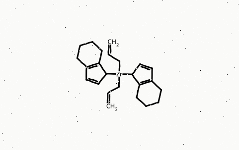 C=C[CH2][Zr]([CH2]C=C)([CH]1C=CC2=C1CCCC2)[CH]1C=CC2=C1CCCC2